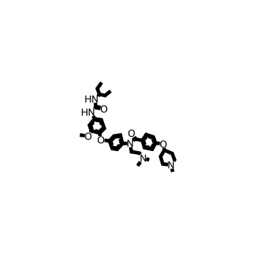 CCC(CC)NC(=O)Nc1ccc(Oc2ccc(N(CCN(C)C)C(=O)c3ccc(OC4CCN(C)CC4)cc3)cc2)c(OC)c1